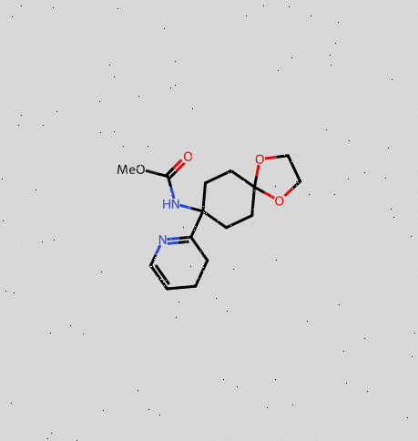 COC(=O)NC1(C2=NC=CCC2)CCC2(CC1)OCCO2